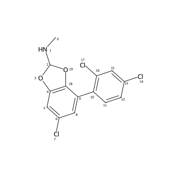 CNC1Oc2cc(Cl)cc(-c3ccc(Cl)cc3Cl)c2O1